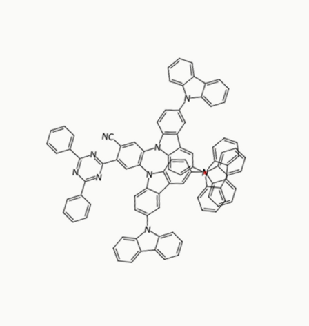 N#Cc1cc(-n2c3ccc(-n4c5ccccc5c5ccccc54)cc3c3cc(-n4c5ccccc5c5ccccc54)ccc32)c(-n2c3ccc(-n4c5ccccc5c5ccccc54)cc3c3cc(-n4c5ccccc5c5ccccc54)ccc32)cc1-c1nc(-c2ccccc2)nc(-c2ccccc2)n1